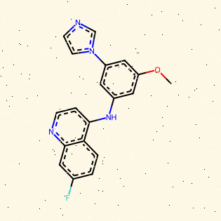 COc1cc(Nc2ccnc3cc(F)ccc23)cc(-n2ccnc2)c1